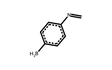 Bc1ccc(N=C)cc1